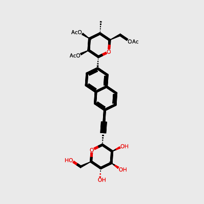 CC(=O)OC[C@H]1O[C@H](c2ccc3cc(C#C[C@H]4O[C@H](CO)[C@@H](O)[C@H](O)[C@@H]4O)ccc3c2)[C@@H](OC(C)=O)[C@@H](OC(C)=O)[C@@H]1C